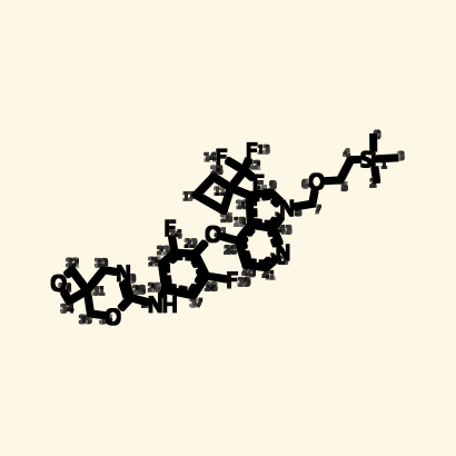 C[Si](C)(C)CCOCn1cc(C2(C(F)(F)F)CCC2)c2c(Oc3c(F)cc(NC4=NCC5(COC5)CO4)cc3F)ccnc21